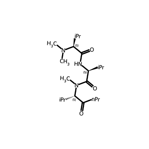 [CH2]CCC(=O)[C@H](C(C)C)N(C)C(=O)[C@@H](NC(=O)[C@H](C(C)C)N(C)C)C(C)C